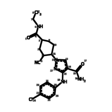 N#CC1CC(C(=O)NCC(F)(F)F)CCC1n1cc(C(N)=O)c(Nc2ccc(Cl)cc2)n1